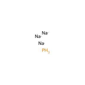 P.[Na].[Na].[Na]